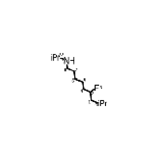 CC(C)CC(F)CCCCCNC(C)C